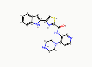 O=C(Nc1cnccc1N1CCNCC1)c1nc(-c2cc3ccccc3[nH]2)cs1